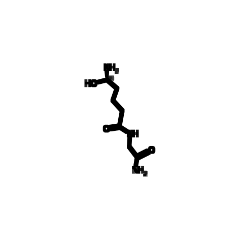 NC(=O)CNC(=O)CCC[C@H](N)O